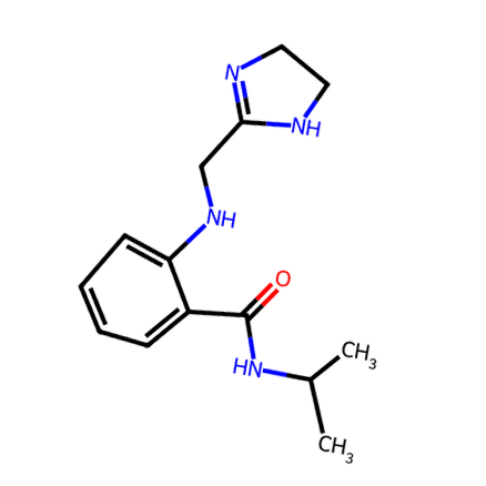 CC(C)NC(=O)c1ccccc1NCC1=NCCN1